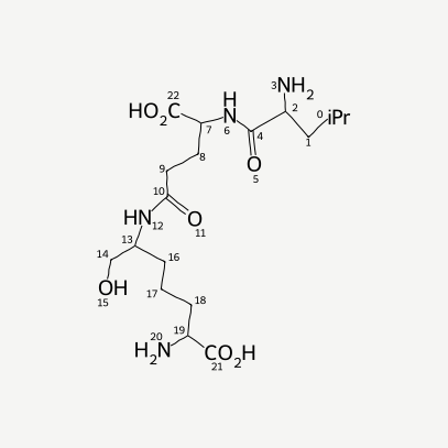 CC(C)CC(N)C(=O)NC(CCC(=O)NC(CO)CCCC(N)C(=O)O)C(=O)O